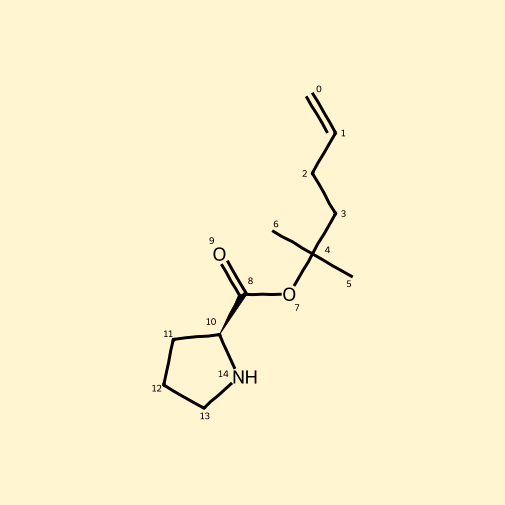 C=CCCC(C)(C)OC(=O)[C@@H]1CCCN1